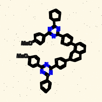 COc1ccc(-c2nc(-c3ccccc3)nc(-c3ccc(-c4ccc5cccc(-c6ccc(-c7nc(-c8ccccc8)nc(-c8ccc(OC)cc8)n7)cc6)c5c4)cc3)n2)cc1